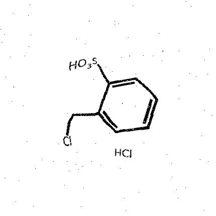 Cl.O=S(=O)(O)c1ccccc1CCl